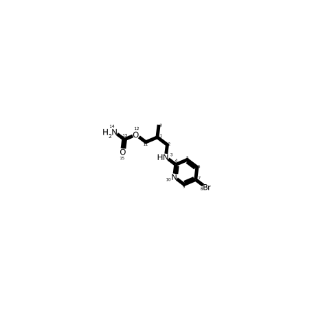 CC(CNc1ccc(Br)cn1)COC(N)=O